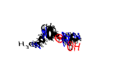 CN(c1ccc(COc2nc(O)c3ccncc3n2)cc1)c1ccc(-c2cnn(C)c2)cc1